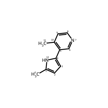 Cc1ccc(-c2cnccc2C)[nH]1